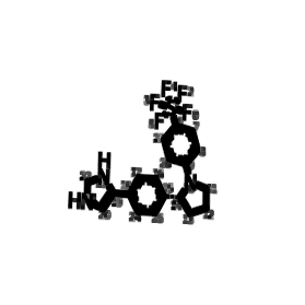 FS(F)(F)(F)(F)c1ccc(N2CCC[C@@H]2c2ccc(C3=CNCN3)cc2)cc1